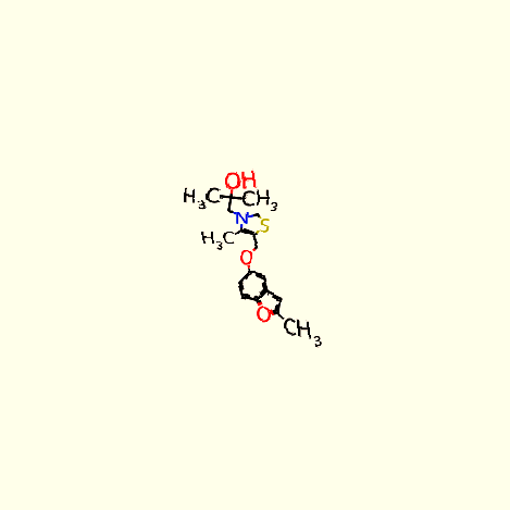 CC1=C(COc2ccc3oc(C)cc3c2)SCN1CC(C)(C)O